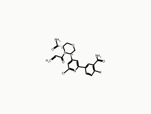 C=CC(=O)N1[C@H](C(N)=O)COC[C@H]1c1cc(Cl)nc(-c2ccc(F)c(C(N)=O)c2)c1